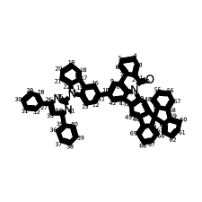 O=c1c2ccccc2c2cc(-c3ccc4c(c3)c3ccccc3n4-c3nc(-c4ccccc4)cc(-c4ccccc4)n3)cc3c4cc5c(cc4n1c23)C1(c2ccccc2-c2ccccc21)c1ccccc1-5